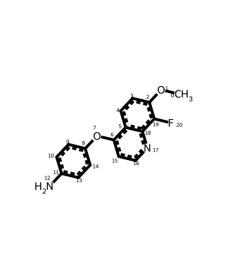 COc1ccc2c(Oc3ccc(N)cc3)ccnc2c1F